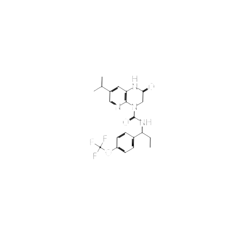 CCC(NC(=O)N1CC(=O)Nc2cc(C(C)C)cnc21)c1ccc(OC(F)(F)F)cc1